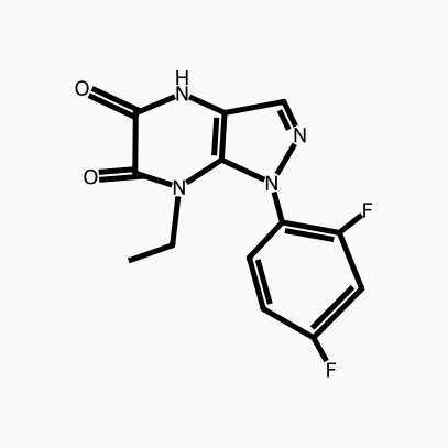 CCn1c(=O)c(=O)[nH]c2cnn(-c3ccc(F)cc3F)c21